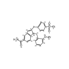 CCS(=O)(=O)c1ccc(Cc2cc3cc(C(N)=O)ccc3n2Cc2ccccc2OC(C)C)cc1